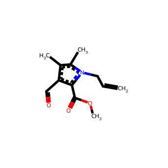 C=CCn1c(C)c(C)c(C=O)c1C(=O)OC